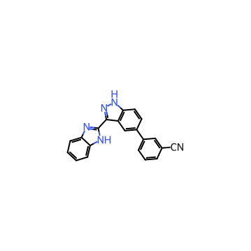 N#Cc1cccc(-c2ccc3[nH]nc(-c4nc5ccccc5[nH]4)c3c2)c1